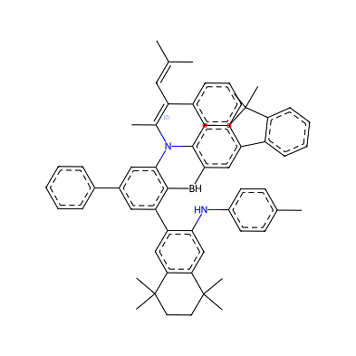 CC(C)=C/C(=C(\C)N1c2cc3c(cc2Bc2c(-c4cc5c(cc4Nc4ccc(C)cc4)C(C)(C)CCC5(C)C)cc(-c4ccccc4)cc21)-c1ccccc1C3(C)C)c1ccccc1